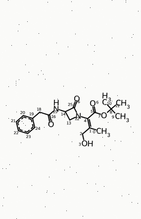 CC(CO)=C(C(=O)OC(C)(C)C)N1CC(NC(=O)Cc2ccccc2)C1=O